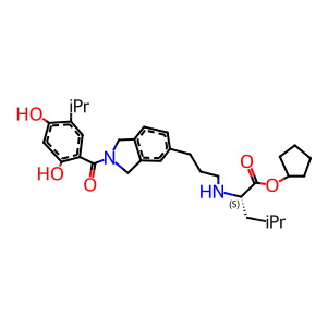 CC(C)C[C@H](NCCCc1ccc2c(c1)CN(C(=O)c1cc(C(C)C)c(O)cc1O)C2)C(=O)OC1CCCC1